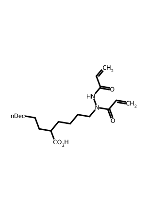 C=CC(=O)NN(CCCCC(CCCCCCCCCCCC)C(=O)O)C(=O)C=C